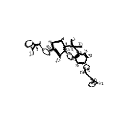 CC1(C)c2ccc(OCC3CO3)cc2Oc2cc(OCC3CO3)ccc21